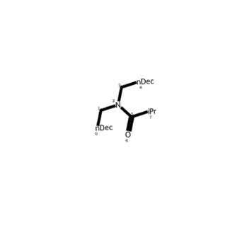 CCCCCCCCCCCN(CCCCCCCCCCC)C(=O)C(C)C